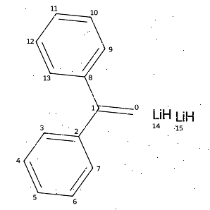 C=C(c1ccccc1)c1ccccc1.[LiH].[LiH]